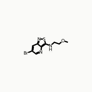 COCCNc1snc2cc(Br)cnc12